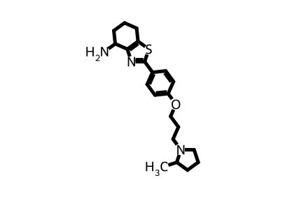 CC1CCCN1CCCOc1ccc(-c2nc3c(s2)CCCC3N)cc1